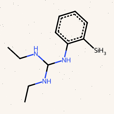 CCNC(NCC)Nc1ccccc1[SiH3]